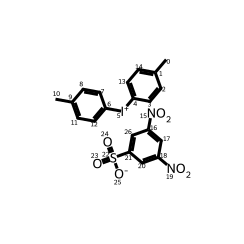 Cc1ccc([I+]c2ccc(C)cc2)cc1.O=[N+]([O-])c1cc([N+](=O)[O-])cc(S(=O)(=O)[O-])c1